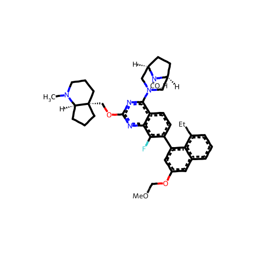 CCc1cccc2cc(OCOC)cc(-c3ccc4c(N5C[C@H]6CC[C@@H](C5)N6C(=O)O)nc(OC[C@]56CCC[C@H]5N(C)CCC6)nc4c3F)c12